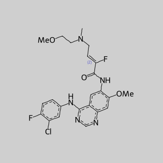 COCCN(C)C/C=C(\F)C(=O)Nc1cc2c(Nc3ccc(F)c(Cl)c3)ncnc2cc1OC